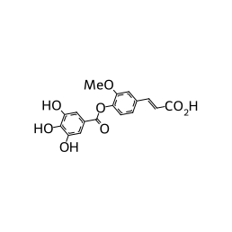 COc1cc(C=CC(=O)O)ccc1OC(=O)c1cc(O)c(O)c(O)c1